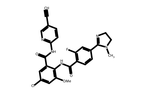 C#Cc1ccc(NC(=O)c2cc(Cl)cc(OC)c2NC(=O)c2ccc(C3=NCCN3C)cc2F)nc1